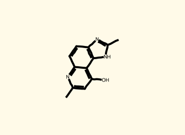 Cc1cc(O)c2c(ccc3nc(C)[nH]c32)n1